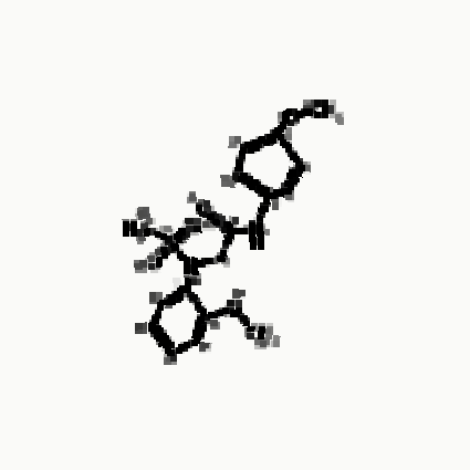 COc1ccc(NC(=O)CN(c2ccccc2OC)S(C)(=O)=O)cc1